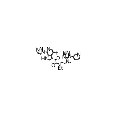 CCN(CCN(C)c1nnnn1-c1cccnc1)C(=O)C(=O)c1c[nH]c2c(-n3ccnn3)ncc(F)c12